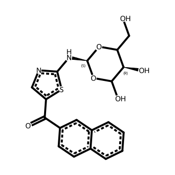 O=C(c1ccc2ccccc2c1)c1cnc(N[C@@H]2OC(O)[C@H](O)C(CO)O2)s1